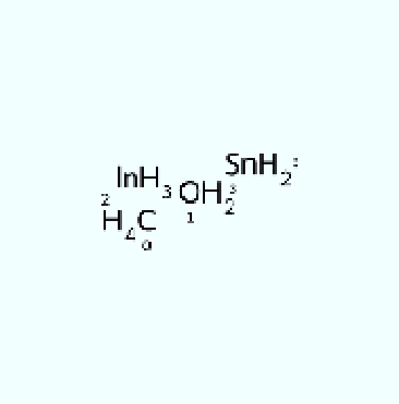 C.O.[InH3].[SnH2]